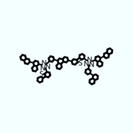 c1cc(-c2nc(-c3ccc(-c4ccc5ccccc5c4)c4ccccc34)nc(-c3cccc4c3sc3ccc(-c5ccc6cc(-c7cccc(-c8nc(-c9ccc(-c%10ccc%11ccccc%11c%10)c%10ccccc9%10)nc(-c9cccc%10c9sc9ccccc9%10)n8)c7)c7ccccc7c6c5)cc34)n2)cc(-c2cccc3ccccc23)c1